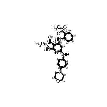 Cn1[nH]c2nc(Nc3ccc(N4CCOCC4)cn3)cc(Nc3ccccc3S(C)(=O)=O)c2c1=O